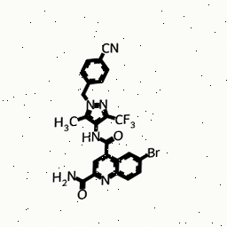 Cc1c(NC(=O)c2cc(C(N)=O)nc3ccc(Br)cc23)c(C(F)(F)F)nn1Cc1ccc(C#N)cc1